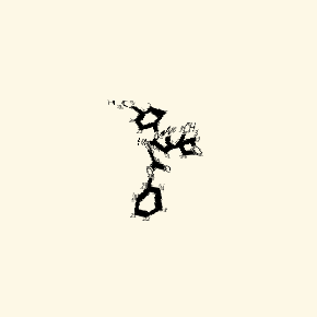 Cc1ccc(-n2nc(C3(C)COC3)cc2NC(=O)Oc2ccccc2)cc1